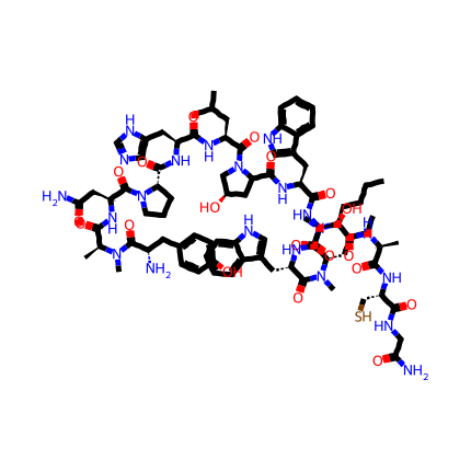 CCCC[C@@H](C(=O)N(C)[C@@H](CCCC)C(=O)N[C@@H](C)C(=O)N[C@@H](CS)C(=O)NCC(N)=O)N(C)C(=O)[C@H](Cc1c[nH]c2ccccc12)NC(=O)[C@H](CO)NC(=O)[C@H](Cc1c[nH]c2ccccc12)NC(=O)C1C[C@@H](O)CN1C(=O)[C@H](CC(C)C)NC(=O)[C@H](Cc1cnc[nH]1)NC(=O)[C@@H]1CCCN1C(=O)[C@H](CC(N)=O)NC(=O)[C@H](C)N(C)C(=O)[C@@H](N)Cc1ccc(O)cc1